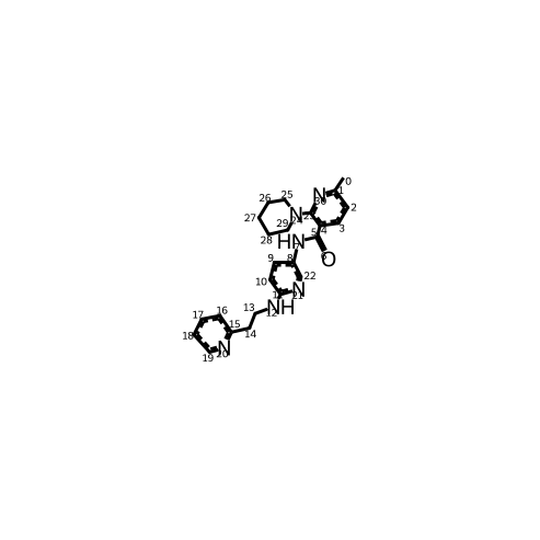 Cc1ccc(C(=O)Nc2ccc(NCCc3ccccn3)nc2)c(N2CCCCC2)n1